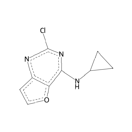 Clc1nc(NC2CC2)c2occc2n1